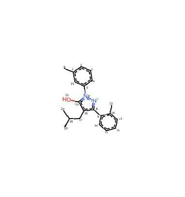 Cc1cccc(-n2nc(-c3ccccc3C)c(CC(C)C)c2O)c1